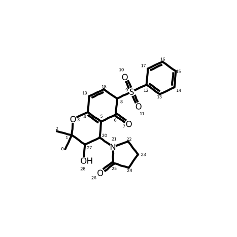 CC1(C)OC2=C(C(=O)C(S(=O)(=O)c3ccccc3)C=C2)C(N2CCCC2=O)C1O